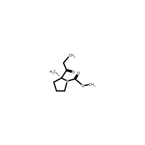 CCC(=O)[C@]1(C)CCCN1C(=O)OC